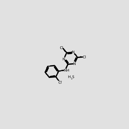 Clc1nc(Cl)nc(Nc2ccccc2Cl)n1.S